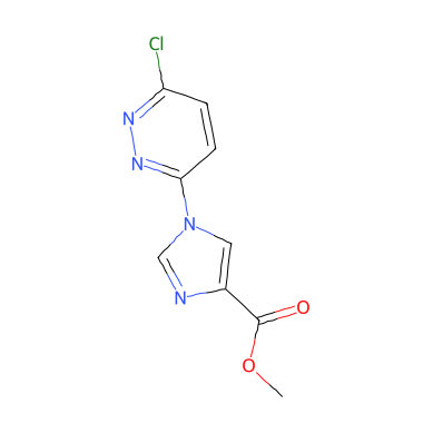 COC(=O)c1cn(-c2ccc(Cl)nn2)cn1